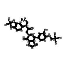 CCN(C(=O)Cn1nc(-c2ccc(OCC(F)(F)F)c(F)c2)c2[nH]cnc2c1=O)c1ccc2c(c1)OC(F)(F)O2